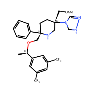 COC[C@]1(N2C=NNC2)CC[C@@](CO[C@H](C)c2cc(C(F)(F)F)cc(C(F)(F)F)c2)(c2ccccc2)NC1